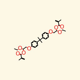 C=C(C)C(=O)OC(COc1ccc(C(C)(C)c2ccc(OCC(OCC)OC(=O)C(=C)C)cc2)cc1)OCC